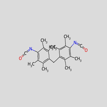 Cc1c(C)c(N=C=O)c(C)c(C)c1Cc1c(C)c(C)c(N=C=O)c(C)c1C